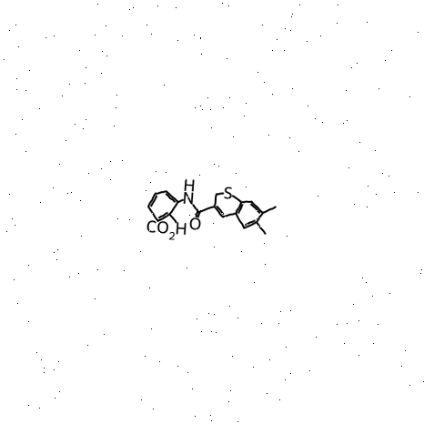 Cc1cc2c(cc1C)SCC(C(=O)Nc1ccccc1C(=O)O)=C2